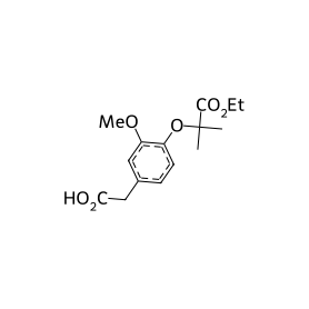 CCOC(=O)C(C)(C)Oc1ccc(CC(=O)O)cc1OC